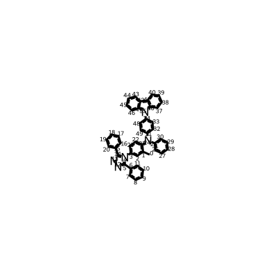 Cc1cc(-n2c(-c3ccccc3)nnc2-c2ccccc2)ccc1N(c1ccccc1)c1ccc(-n2c3ccccc3c3ccccc32)cc1